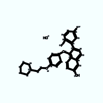 Cl.Oc1ccc2c(Oc3ccc(OCCN4CCCCC4)cc3)c(-c3cc(F)ccc3F)ccc2c1